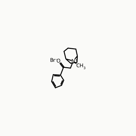 C[N+]1(CC(=O)c2ccccc2)C2CCCC1CC2.[Br-]